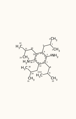 CC(C)Cc1c(N)c(CC(C)C)c(CC(C)C)c(N)c1CC(C)C